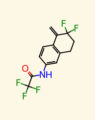 C=C1c2ccc(NC(=O)C(F)(F)F)cc2CCC1(F)F